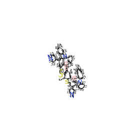 Cc1c2c(cc3c1Sc1cc(-c4ccncc4)c4c5ccccc5n5c4c1B3c1ccccc1-5)B1c3ccccc3-n3c4ccccc4c4c(-c5ccncc5)cc(c1c43)S2